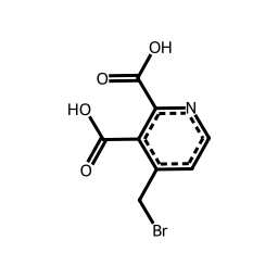 O=C(O)c1nccc(CBr)c1C(=O)O